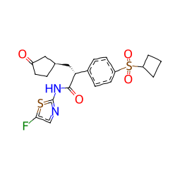 O=C1CC[C@H](C[C@@H](C(=O)Nc2ncc(F)s2)c2ccc(S(=O)(=O)C3CCC3)cc2)C1